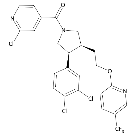 O=C(c1ccnc(Cl)c1)N1C[C@@H](CCOc2ccc(C(F)(F)F)cn2)[C@@H](c2ccc(Cl)c(Cl)c2)C1